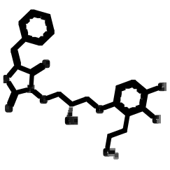 CCCc1c(OC[C@H](O)CON2C(=O)SC(=Cc3ccccc3)C2=O)ccc(Cl)c1Cl